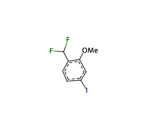 COc1cc(I)ccc1C(F)F